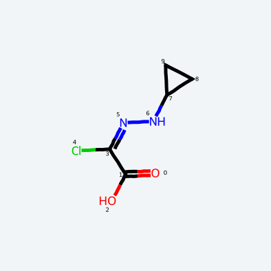 O=C(O)/C(Cl)=N\NC1CC1